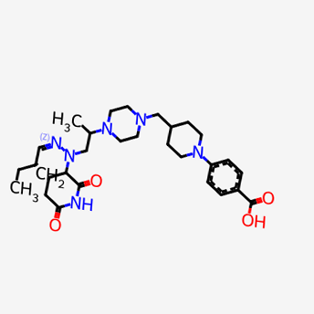 C=C(/C=N\N(CC(C)N1CCN(CC2CCN(c3ccc(C(=O)O)cc3)CC2)CC1)C1CCC(=O)NC1=O)CC